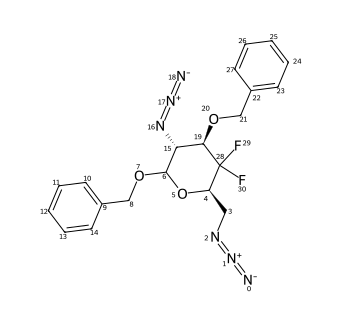 [N-]=[N+]=NC[C@H]1OC(OCc2ccccc2)[C@H](N=[N+]=[N-])[C@@H](OCc2ccccc2)C1(F)F